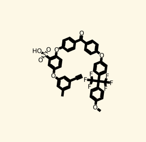 C#Cc1cc(C)cc(Oc2ccc(Oc3ccc(C(=O)c4ccc(Oc5ccc(C(c6ccc(OC)cc6)(C(F)(F)F)C(F)(F)F)cc5)cc4)cc3)c(S(=O)(=O)O)c2)c1